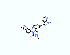 Cn1cc(-c2cc(-c3c[nH]c4ncccc34)ccn2)n(-c2ccc(C(C)(C)C#N)cc2)c1=O